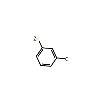 Clc1ccc[c]([Zn])c1